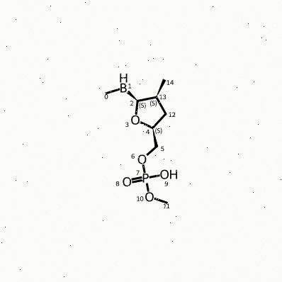 CB[C@@H]1O[C@H](COP(=O)(O)OC)C[C@@H]1C